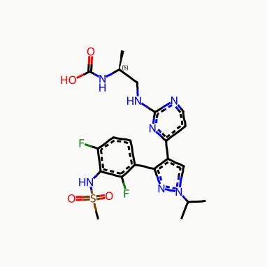 CC(C)n1cc(-c2ccnc(NC[C@H](C)NC(=O)O)n2)c(-c2ccc(F)c(NS(C)(=O)=O)c2F)n1